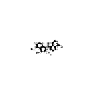 CC[C@H]1C[C@](O)(C(F)(F)F)[C@@H](Nc2cccc3c(=O)occc23)c2ccc(F)c(O)c21